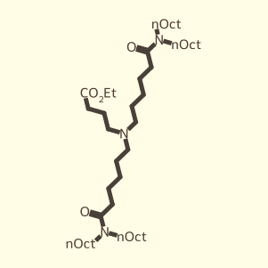 CCCCCCCCN(CCCCCCCC)C(=O)CCCCCN(CCCCCC(=O)N(CCCCCCCC)CCCCCCCC)CCCC(=O)OCC